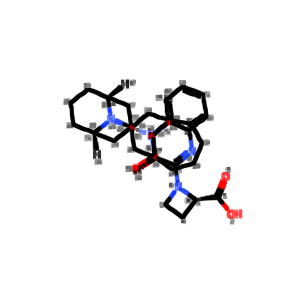 O=C(O)[C@H]1CCN1c1nc2ccccc2n([C@H]2C[C@H]3CCC[C@@H](C2)N3[C@@H]2C[C@@H]3CCCC[C@@H](C3)C2)c1=O